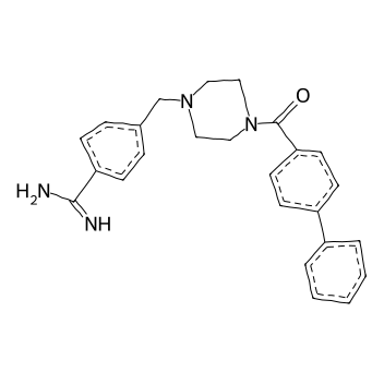 N=C(N)c1ccc(CN2CCN(C(=O)c3ccc(-c4ccccc4)cc3)CC2)cc1